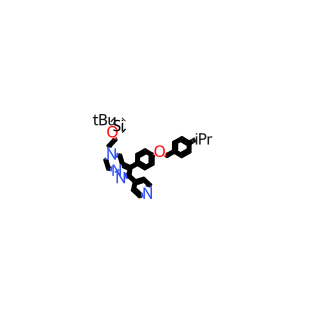 CC(C)c1ccc(COc2ccc(-c3c(-c4ccncc4)nn4c3CN(CCO[Si](C)(C)C(C)(C)C)CC4)cc2)cc1